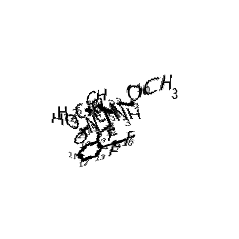 COCCNC(=O)C[C@@H](c1ccccc1C(F)(F)F)N(C(=O)O)C(C)(C)C